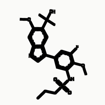 CCCS(=O)(=O)Nc1cc(-c2cnc3cc(OC)c(C(C)(C)O)cn23)cc(F)c1OC